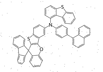 c1ccc2c(c1)Oc1c(sc3ccc(N(c4ccc(-c5cccc6ccccc56)cc4)c4cccc5sc6ccccc6c45)cc13)C21c2ccccc2-c2ccccc21